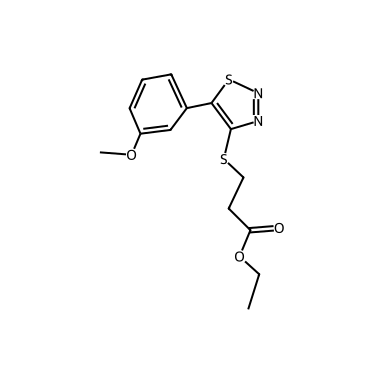 CCOC(=O)CCSc1nnsc1-c1cccc(OC)c1